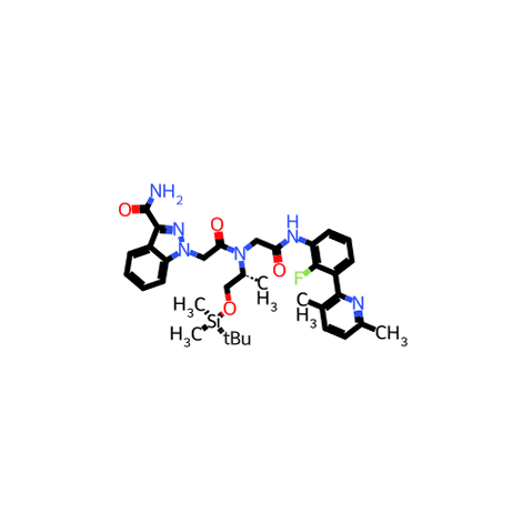 Cc1ccc(C)c(-c2cccc(NC(=O)CN(C(=O)Cn3nc(C(N)=O)c4ccccc43)[C@H](C)CO[Si](C)(C)C(C)(C)C)c2F)n1